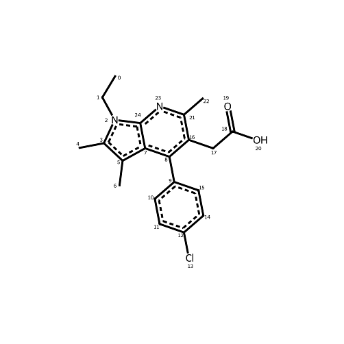 CCn1c(C)c(C)c2c(-c3ccc(Cl)cc3)c(CC(=O)O)c(C)nc21